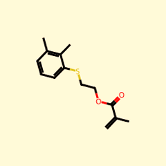 C=C(C)C(=O)OCCSc1cccc(C)c1C